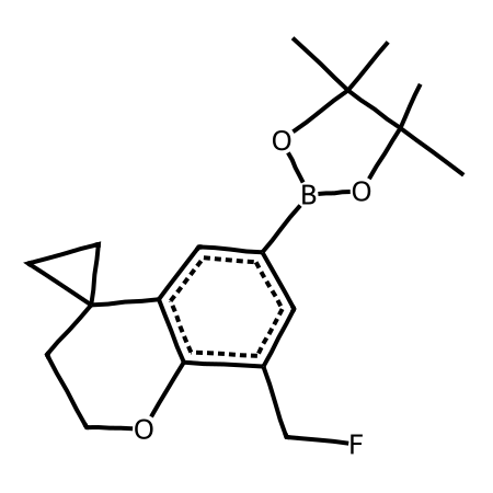 CC1(C)OB(c2cc(CF)c3c(c2)C2(CCO3)CC2)OC1(C)C